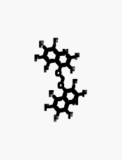 Fc1nc2c(F)c(F)c(F)c(F)c2c(OCOc2c(F)c(F)nc3c(F)c(F)c(F)c(F)c23)c1F